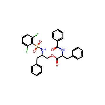 O=C(NC(Cc1ccccc1)C(=O)OCC(Cc1ccccc1)NS(=O)(=O)c1c(F)cccc1F)c1ccccc1